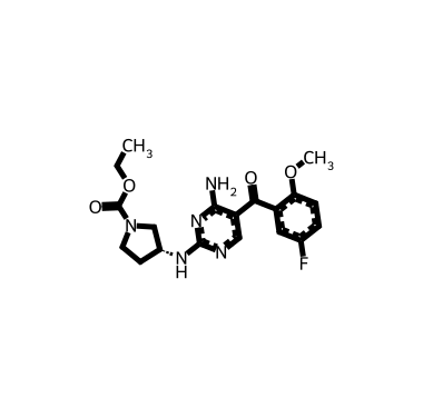 CCOC(=O)N1CC[C@@H](Nc2ncc(C(=O)c3cc(F)ccc3OC)c(N)n2)C1